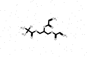 C=CC(=O)OCC(COC(=O)C(C)(C)CC)OC(=O)C=C